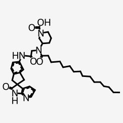 CCCCCCCCCCCCCCCC(=O)N(CC(=O)Nc1ccc2c(c1)CC1(C2)C(=O)Nc2ncccc21)C1CCCN(C(=O)O)C1